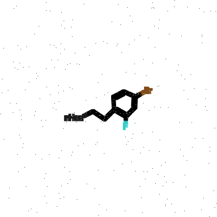 CCCCCCCCc1ccc(Br)cc1F